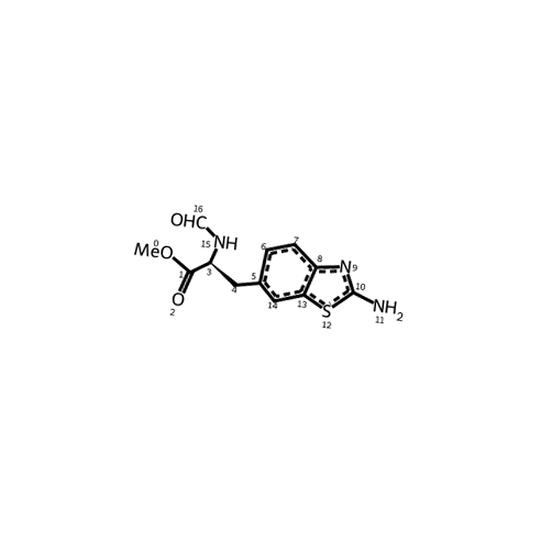 COC(=O)[C@H](Cc1ccc2nc(N)sc2c1)NC=O